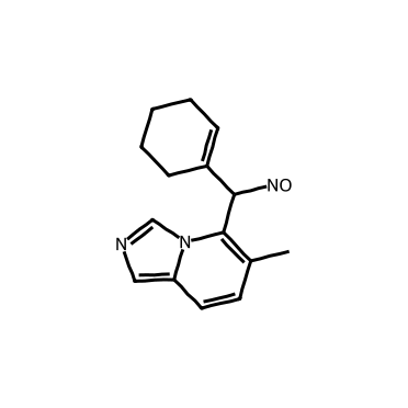 Cc1ccc2cncn2c1C(N=O)C1=CCCCC1